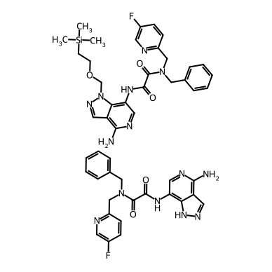 C[Si](C)(C)CCOCn1ncc2c(N)ncc(NC(=O)C(=O)N(Cc3ccccc3)Cc3ccc(F)cn3)c21.Nc1ncc(NC(=O)C(=O)N(Cc2ccccc2)Cc2ccc(F)cn2)c2[nH]ncc12